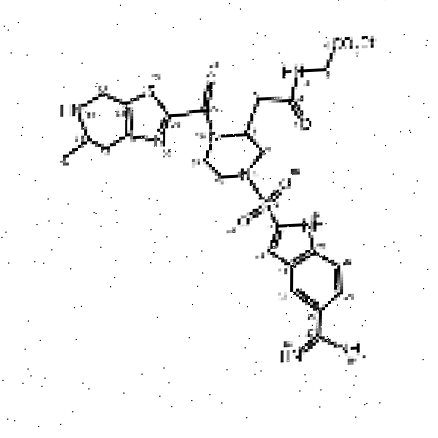 CCOC(=O)CNC(=O)CC1CN(S(=O)(=O)c2cc3cc(C(=N)N)ccc3[nH]2)CCN1C(=O)c1nc2c(s1)CNC(C)C2